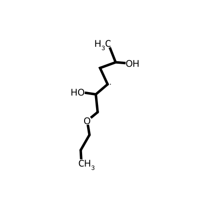 CCCOCC(O)[CH]CC(C)O